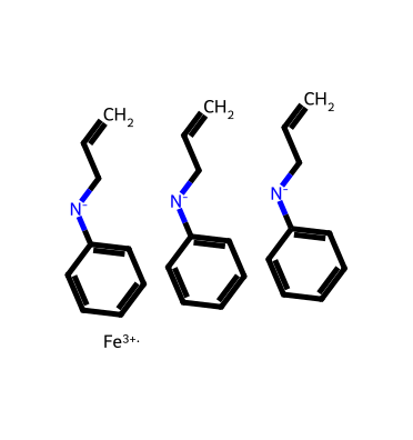 C=CC[N-]c1ccccc1.C=CC[N-]c1ccccc1.C=CC[N-]c1ccccc1.[Fe+3]